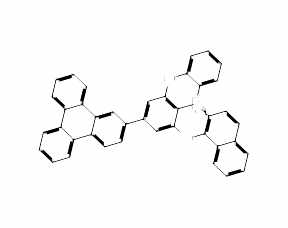 O=P12c3ccccc3Oc3cc(-c4ccc5c6ccccc6c6ccccc6c5c4)cc(c31)Oc1c2ccc2ccccc12